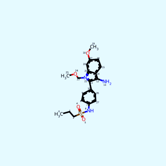 CCCS(=O)(=O)Nc1ccc(-c2c(N)c3ccc(OC)cc3n2COC)cc1